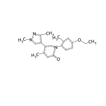 CCOc1ccc(-n2cc(-c3cn(C)nc3C)c(C)cc2=O)c(C)c1